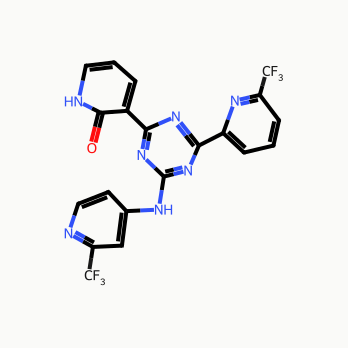 O=c1[nH]cccc1-c1nc(Nc2ccnc(C(F)(F)F)c2)nc(-c2cccc(C(F)(F)F)n2)n1